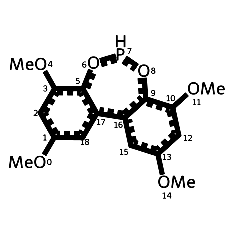 COc1cc(OC)c2o[pH]oc3c(OC)cc(OC)cc3c2c1